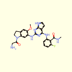 CNC(=O)c1c(F)cccc1Nc1nc(Nc2cc3c(cc2OC)CCN3C(=O)CN)nc2[nH]ccc12